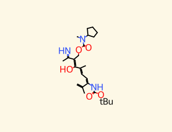 C=C(C)\C(=C/C=C(C)/C(O)=C(\COC(=O)N(C)C1CCCC1)C(C)=N)NC(=O)OC(C)(C)C